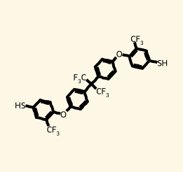 FC(F)(F)c1cc(S)ccc1Oc1ccc(C(c2ccc(Oc3ccc(S)cc3C(F)(F)F)cc2)(C(F)(F)F)C(F)(F)F)cc1